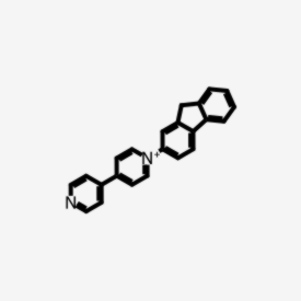 c1ccc2c(c1)Cc1cc(-[n+]3ccc(-c4ccncc4)cc3)ccc1-2